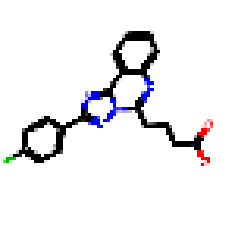 O=C(O)CCCc1nc2ccccc2c2nc(-c3ccc(Cl)cc3)nn12